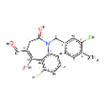 Cc1ccc(CN2C(=O)CC(C=O)=C(Br)c3c(F)cccc32)cc1F